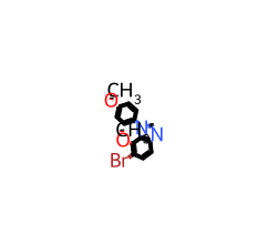 COc1ccc(-n2cnc3ccc(Br)c(OC)c32)cc1